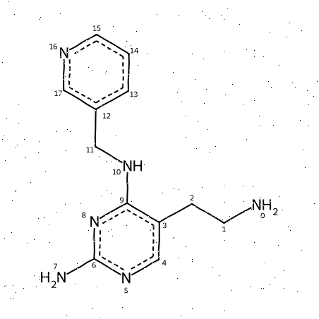 NCCc1cnc(N)nc1NCc1cccnc1